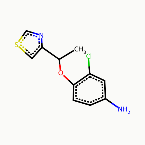 CC(Oc1ccc(N)cc1Cl)c1cscn1